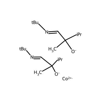 CC(C)C(C)([O-])C=NC(C)(C)C.CC(C)C(C)([O-])C=NC(C)(C)C.[Co+2]